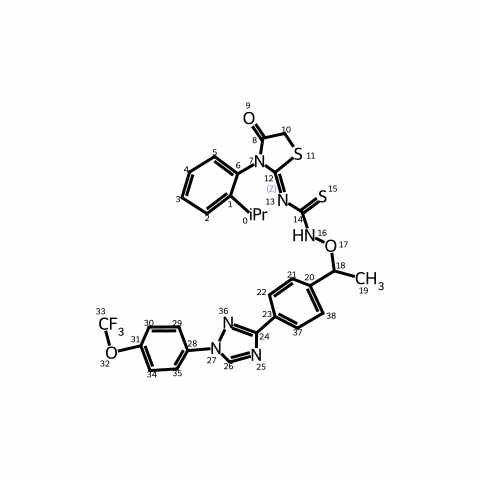 CC(C)c1ccccc1N1C(=O)CS/C1=N\C(=S)NOC(C)c1ccc(-c2ncn(-c3ccc(OC(F)(F)F)cc3)n2)cc1